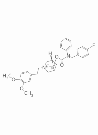 COc1ccc(CC[N+]23CCC(CC2)[C@@H](OC(=O)N(Cc2ccc(F)cc2)c2ccccc2)C3)cc1OC